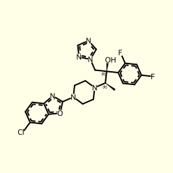 C[C@@H](N1CCN(c2nc3ccc(Cl)cc3o2)CC1)[C@](O)(Cn1cncn1)c1ccc(F)cc1F